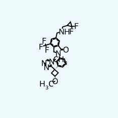 CO[C@H]1C[C@](c2cccc(N3Cc4c(cc(CNCC5CC5(F)F)cc4C(F)(F)F)C3=O)c2)(c2nncn2C)C1